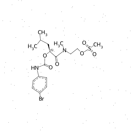 CC(C)C[C@H](OC(=O)Nc1ccc(Br)cc1)C(=O)N(C)CCOS(C)(=O)=O